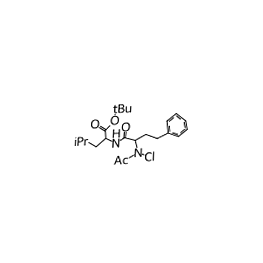 CC(=O)N(Cl)C(CCc1ccccc1)C(=O)NC(CC(C)C)C(=O)OC(C)(C)C